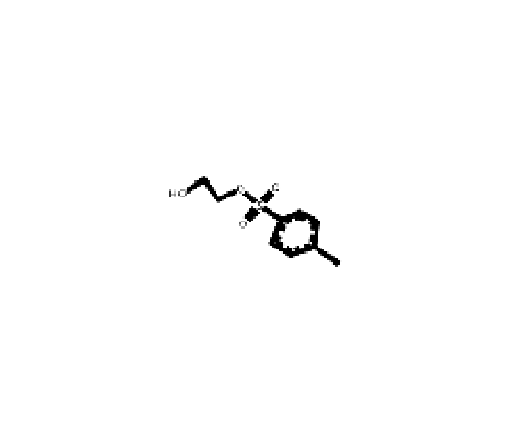 Cc1ccc(S(=O)(=O)OCCO)cc1